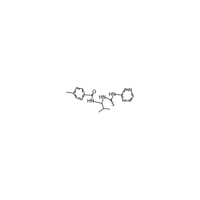 Cc1ccc(C(=O)NC(NC(=S)Nc2cccnc2)C(C)C)cc1